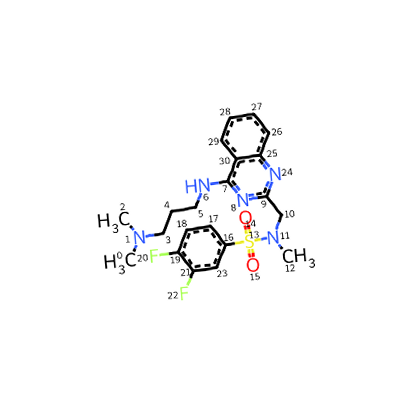 CN(C)CCCNc1nc(CN(C)S(=O)(=O)c2ccc(F)c(F)c2)nc2ccccc12